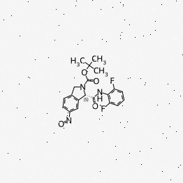 CC(C)(C)OC(=O)N1Cc2ccc(N=O)cc2[C@H]1C(=O)Nc1c(F)cccc1F